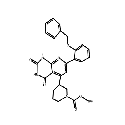 CC(C)(C)OC(=O)N1CCCC(c2cc(-c3ccccc3OCc3ccccc3)nc3[nH]c(=O)[nH]c(=O)c23)C1